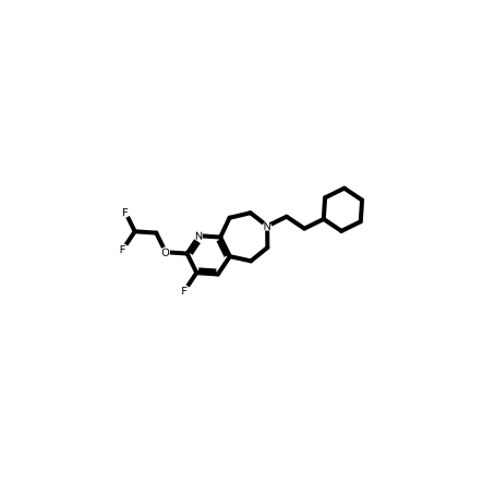 Fc1cc2c(nc1OCC(F)F)CCN(CCC1CCCCC1)CC2